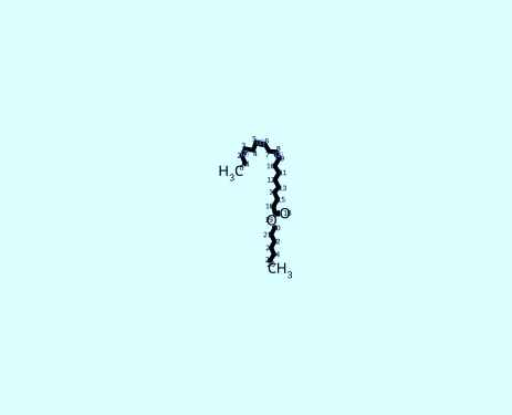 CC/C=C\C/C=C\C/C=C\CCCCCCCC(=O)OCCCCCCC